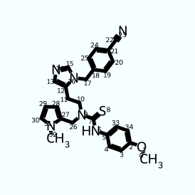 COc1ccc(NC(=S)N(CCc2cncn2Cc2ccc(C#N)cc2)Cc2cccn2C)cc1